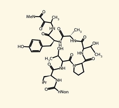 CCCCCCCCCC(=O)N[C@@H](CC(C)C)C(=O)NC(C(=O)N1CCC[C@@H]1C(=O)NC(C(=O)N[C@@H](C)C(=O)N[C@@H](Cc1ccc(O)cc1)C(=O)NC(C)C(=O)C(=O)NC)C(C)O)C(C)O